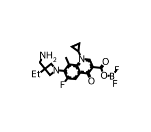 CCC1(CN)CN(c2c(F)cc3c(=O)c(C(=O)OB(F)F)cn(C4CC4)c3c2C)C1